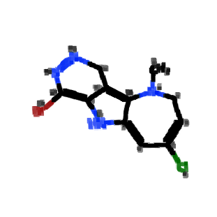 CN1CC=C(Cl)C=c2[nH]c3c(c21)CN=NC=3Br